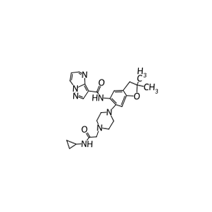 CC1(C)Cc2cc(NC(=O)c3cnn4cccnc34)c(N3CCN(CC(=O)NC4CC4)CC3)cc2O1